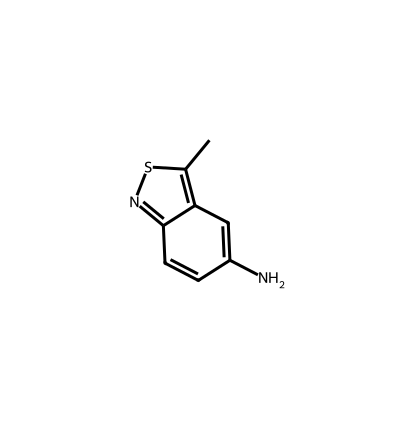 Cc1snc2ccc(N)cc12